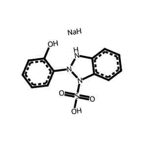 O=S(=O)(O)N1c2ccccc2NN1c1ccccc1O.[NaH]